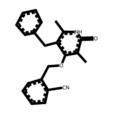 Cc1[nH]c(=O)c(C)c(OCc2ccccc2C#N)c1Cc1ccccc1